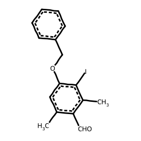 Cc1cc(OCc2ccccc2)c(I)c(C)c1C=O